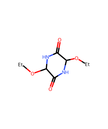 CCOC1NC(=O)C(OCC)NC1=O